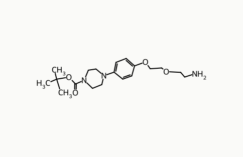 CC(C)(C)OC(=O)N1CCN(c2ccc(OCCOCCN)cc2)CC1